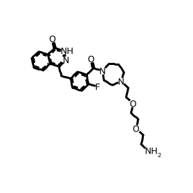 NCCOCCOCCN1CCCN(C(=O)c2cc(Cc3n[nH]c(=O)c4ccccc34)ccc2F)CC1